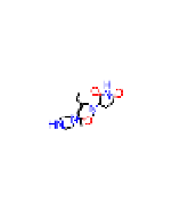 CCC1=CC(C)(N2CCNCC2)OCN(C2CCC(=O)NC2=O)C1